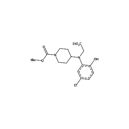 CCOC(=O)CN(c1cc(Cl)ccc1O)C1CCN(C(=O)OC(C)(C)C)CC1